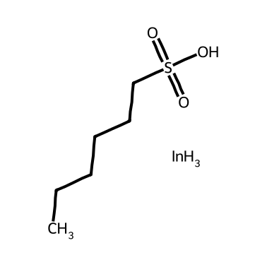 CCCCCCS(=O)(=O)O.[InH3]